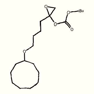 CCC(C)OC(=O)OC1(CCCCOC2CCCCCCCC2)CO1